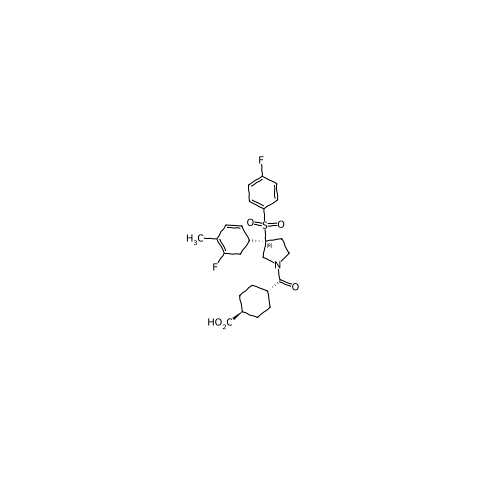 CC1=C(F)CC([C@]2(S(=O)(=O)c3ccc(F)cc3)CCN(C(=O)[C@H]3CC[C@H](C(=O)O)CC3)C2)C=C1